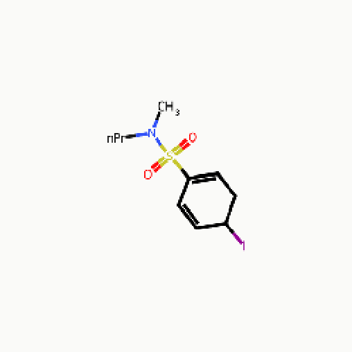 CCCN(C)S(=O)(=O)C1=CCC(I)C=C1